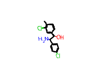 Cc1ccc([C@@H](O)[C@H](N)c2ccc(Cl)cc2)cc1Cl